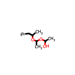 CC(C)CC(C)OC(C)OC(C)O